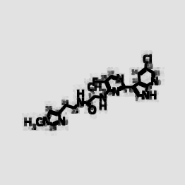 C[C@H](Nc1nc(-c2c[nH]c3ncc(Cl)cc23)ncc1F)C(=O)NCCc1cn(C)cn1